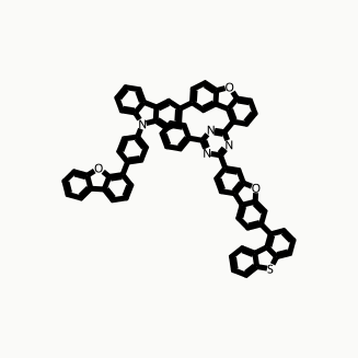 c1ccc(-c2nc(-c3ccc4c(c3)oc3cc(-c5cccc6sc7ccccc7c56)ccc34)nc(-c3cccc4oc5ccc(-c6ccc7c(c6)c6ccccc6n7-c6ccc(-c7cccc8c7oc7ccccc78)cc6)cc5c34)n2)cc1